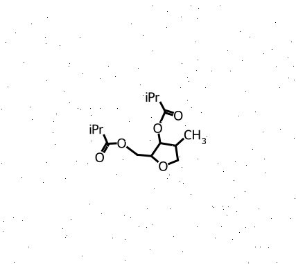 CC(C)C(=O)OCC1OCC(C)C1OC(=O)C(C)C